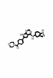 O=C(C1CC=C(c2cc3c(Nc4ccc5[nH]ncc5c4)ncnc3[nH]2)CC1)N1CCOCC1